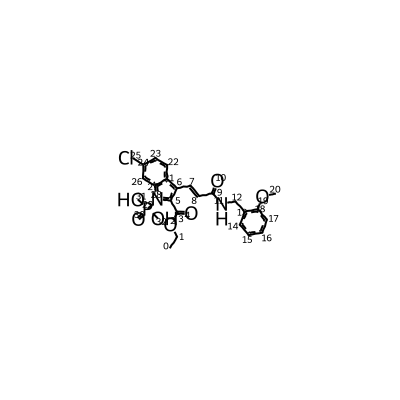 CCOC(=O)c1c(/C=C/C(=O)NCc2ccccc2OC)c2ccc(Cl)cc2n1P(=O)(O)O